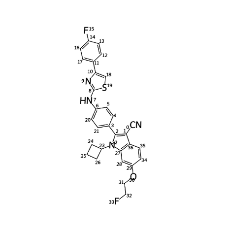 N#Cc1c(-c2ccc(Nc3nc(-c4ccc(F)cc4)cs3)cc2)n(C2CCC2)c2cc(OCCF)ccc12